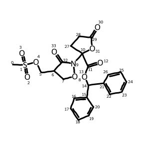 CS(=O)(=O)OCC1CON(C2(C(=O)OC(c3ccccc3)c3ccccc3)CCC(=O)O2)C1=O